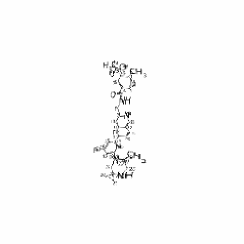 Cc1ncc(C(=O)NCc2cc3nc(-c4cc(F)cc(N5CC6(CC6)NC[C@@H]5C)n4)ccc3cn2)cc1S(C)(=O)=O